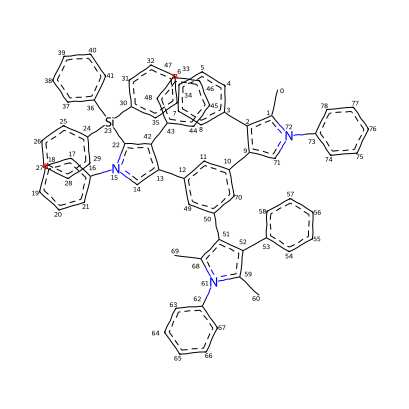 Cc1c(-c2ccccc2)c(-c2cc(-c3cn(-c4ccccc4)c([Si](c4ccccc4)(c4ccccc4)c4ccccc4)c3-c3ccccc3)cc(-c3c(-c4ccccc4)c(C)n(-c4ccccc4)c3C)c2)cn1-c1ccccc1